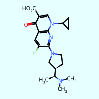 C[C@@H]([C@@H]1CCN(c2nc3c(cc2F)c(=O)c(C(=O)O)cn3C2CC2)C1)N(C)C